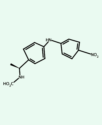 C[C@H](NC(=O)O)c1ccc(Nc2ccc([N+](=O)[O-])cc2)cc1